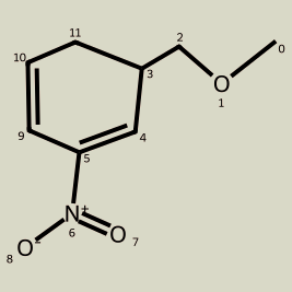 COCC1C=C([N+](=O)[O-])C=CC1